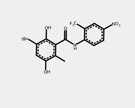 Cc1c(O)cc(C(C)(C)C)c(O)c1C(=O)Nc1ccc([N+](=O)[O-])cc1C(F)(F)F